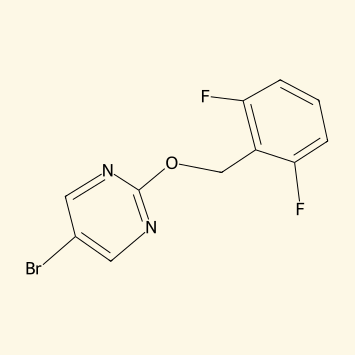 Fc1cccc(F)c1COc1ncc(Br)cn1